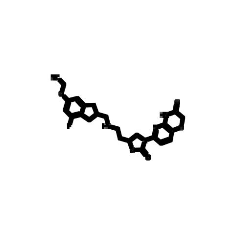 N#CCOc1cc(F)c2c(c1)CC(CNCCC1CN(c3ccc4c(n3)NC(=O)CO4)C(=O)O1)C2